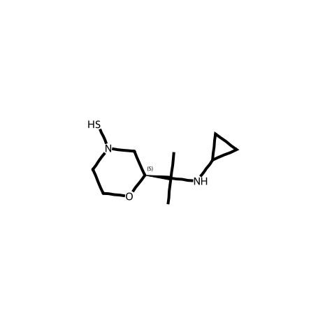 CC(C)(NC1CC1)[C@@H]1CN(S)CCO1